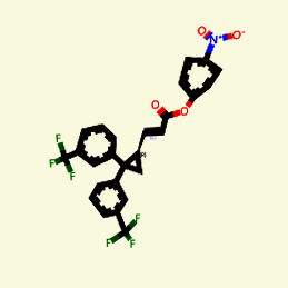 O=C(/C=C/[C@H]1CC1(c1cccc(C(F)(F)F)c1)c1cccc(C(F)(F)F)c1)Oc1ccc([N+](=O)[O-])cc1